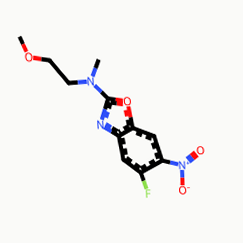 COCCN(C)c1nc2cc(F)c([N+](=O)[O-])cc2o1